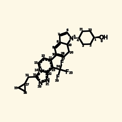 O[C@H]1CC[C@H](N2C=CC3=CC(c4ccn5c(CC6CC6)nnc5c4C(F)(F)F)=CCC32)CC1